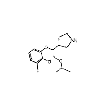 CC(C)OC[C@H](Oc1cccc(F)c1Cl)[C@@H]1CCNC1